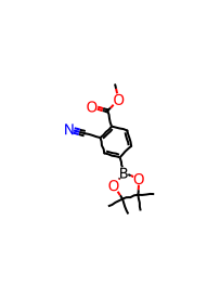 COC(=O)c1ccc(B2OC(C)(C)C(C)(C)O2)cc1C#N